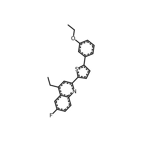 CCOc1cccc(-c2ccc(-c3cc(CC)c4cc(F)ccc4n3)s2)c1